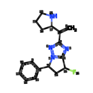 C=C(c1nc2n(n1)C(c1ccccc1)CC2F)C1CCCN1